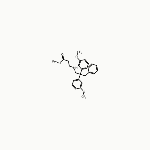 CC(C)OC(=O)CCNCC(Cc1ccccc1)(c1cccc(OC(F)(F)F)c1)c1cccc(OC(F)(F)F)c1